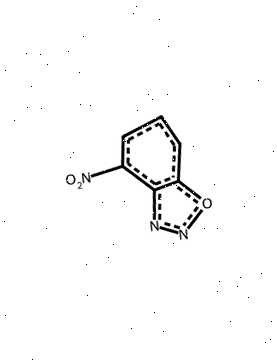 O=[N+]([O-])c1cccc2onnc12